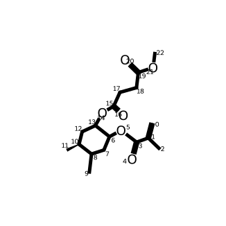 C=C(C)C(=O)OC1CC(C)[C@@H](C)CC1OC(=O)CCC(=O)OC